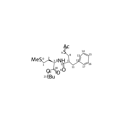 CSCC[C@@H](NC(=O)C(CSC(C)=O)Cc1ccccc1)C(=O)OC(C)(C)C